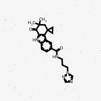 CC1(C)CC2(CC2)c2c([nH]c3ccc(C(=O)NCCCn4cncn4)cc23)C1=O